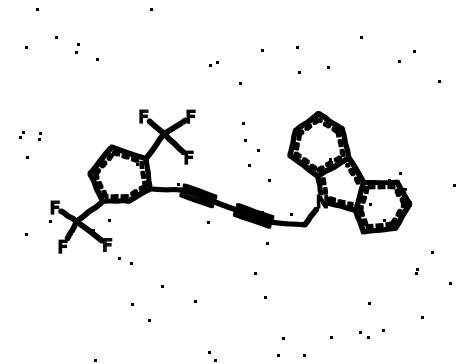 FC(F)(F)c1ccc(C(F)(F)F)c(C#CC#CCn2c3ccccc3c3ccccc32)c1